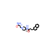 N#CC1(NC(=O)[CH]Cc2ccc3ccccc3c2)CCN(CCC(N)=O)CC1